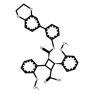 COc1ccccc1C1C(C(=O)O)[C@H](c2ccccc2OC)[C@@H]1C(=O)Oc1cccc(-c2ccc3c(c2)OCCO3)c1